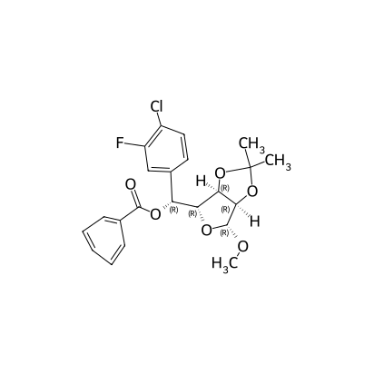 CO[C@@H]1O[C@H]([C@H](OC(=O)c2ccccc2)c2ccc(Cl)c(F)c2)[C@H]2OC(C)(C)O[C@@H]12